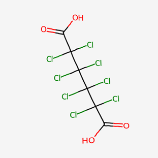 O=C(O)C(Cl)(Cl)C(Cl)(Cl)C(Cl)(Cl)C(Cl)(Cl)C(=O)O